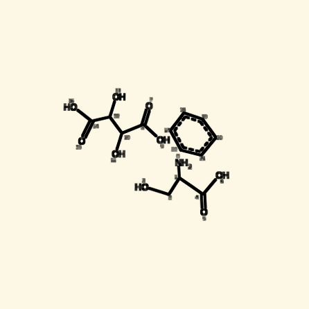 NC(CO)C(=O)O.O=C(O)C(O)C(O)C(=O)O.c1ccccc1